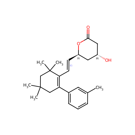 Cc1cccc(C2=C(/C=C/[C@@H]3C[C@@H](O)CC(=O)O3)C(C)(C)CC(C)(C)C2)c1